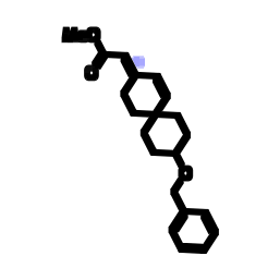 COC(=O)/C=C1/C=CC2(CC1)CCC(OCc1ccccc1)CC2